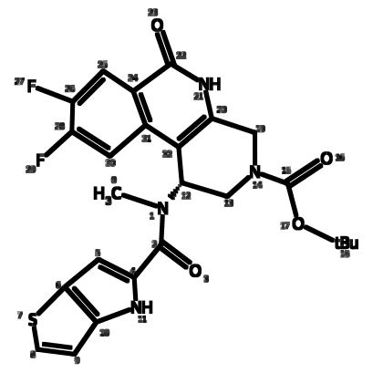 CN(C(=O)c1cc2sccc2[nH]1)[C@H]1CN(C(=O)OC(C)(C)C)Cc2[nH]c(=O)c3cc(F)c(F)cc3c21